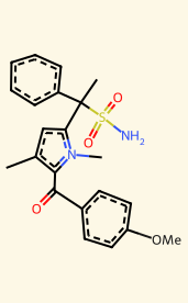 COc1ccc(C(=O)c2c(C)cc(C(C)(c3ccccc3)S(N)(=O)=O)n2C)cc1